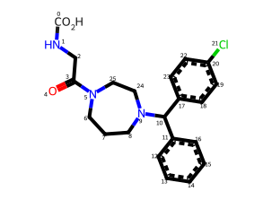 O=C(O)NCC(=O)N1CCCN(C(c2ccccc2)c2ccc(Cl)cc2)CC1